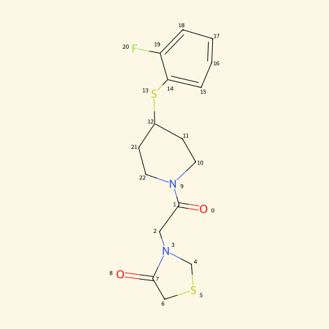 O=C(CN1CSCC1=O)N1CCC(Sc2ccccc2F)CC1